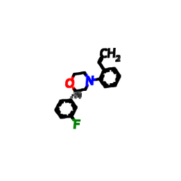 C=Cc1ccccc1N1CCO[C@@H](c2cccc(F)c2)C1